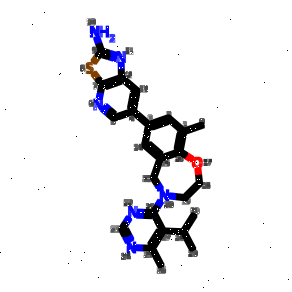 Cc1cc(-c2cnc3sc(N)nc3c2)cc2c1OCCN(c1ncnc(C)c1C(C)C)C2